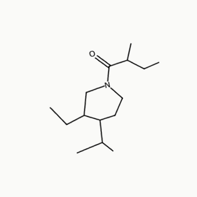 CCC(C)C(=O)N1CCC(C(C)C)C(CC)C1